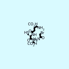 NC(=O)CBr.N[C@@H](CCC(=O)N[C@@H](CS)C(=O)NCC(=O)O)C(=O)O